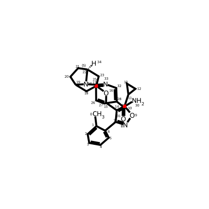 Cc1ccccc1-c1noc(C2CC2)c1COC1CC2CC[C@@H](C1)N2c1ccc(C(N)=O)cn1